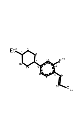 CCC1CCC(c2ccc(C=CF)c(F)c2)CC1